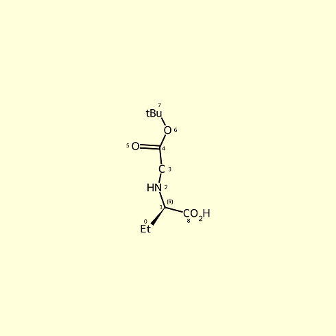 CC[C@@H](NCC(=O)OC(C)(C)C)C(=O)O